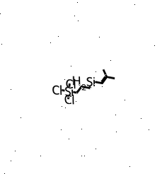 CC(C)=C[SiH2]CCC[Si](Cl)(Cl)Cl